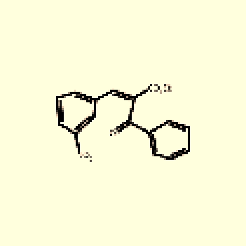 CCOC(=O)C(=Cc1cccc([N+](=O)[O-])c1)C(=O)c1ccccc1